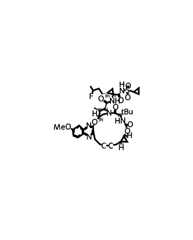 COc1ccc2nc3c(nc2c1)O[C@H]1CN(C(=O)[C@H](C(C)(C)C)NC(=O)O[C@@H]2C[C@H]2CCCCC3)[C@H](C(=O)N[C@]2(C(=O)NS(=O)(=O)C3CC3)C[C@H]2CCC(C)F)[C@@H]1C